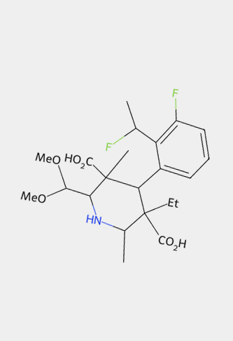 CCC1(C(=O)O)C(C)NC(C(OC)OC)C(C)(C(=O)O)C1c1cccc(F)c1C(C)F